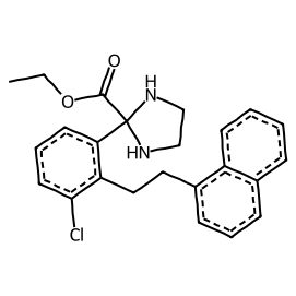 CCOC(=O)C1(c2cccc(Cl)c2CCc2cccc3ccccc23)NCCN1